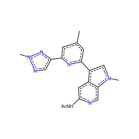 CC(=O)Nc1cc2c(-c3cc(C)cc(-c4cnn(C)n4)n3)cn(C)c2cn1